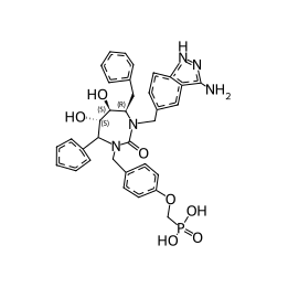 Nc1n[nH]c2ccc(CN3C(=O)N(Cc4ccc(OCP(=O)(O)O)cc4)C(c4ccccc4)[C@H](O)[C@@H](O)[C@H]3Cc3ccccc3)cc12